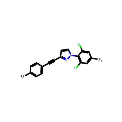 Cc1ccc(C#Cc2ccn(-c3c(Cl)cc(C(F)(F)F)cc3Cl)n2)cc1